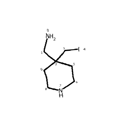 NCC1(CI)CCNCC1